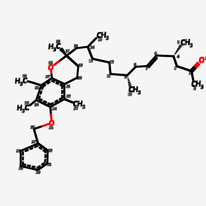 CC(=O)C[C@@H](C)C=CC[C@H](C)CCCC(C)C[C@]1(C)CCc2c(C)c(OCc3ccccc3)c(C)c(C)c2O1